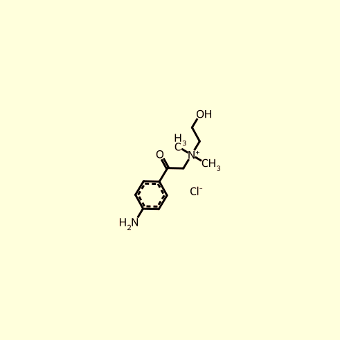 C[N+](C)(CCO)CC(=O)c1ccc(N)cc1.[Cl-]